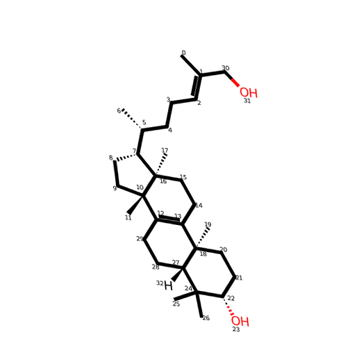 C/C(=C\CC[C@@H](C)[C@H]1CC[C@@]2(C)C3=C(CC[C@]12C)[C@@]1(C)CC[C@H](O)C(C)(C)[C@@H]1CC3)CO